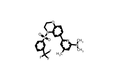 Cc1cc(-c2ccc3c(c2)N(S(=O)(=O)c2cccc(C(F)(F)F)c2)CCO3)nc(N(C)C)c1